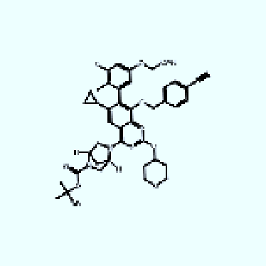 C#Cc1ccc(COc2c(-c3cc(OCOC)cc(F)c3C)c(C3CC3)cc3c(N4C[C@@H]5C[C@H]4CN5C(=O)OC(C)(C)CCC)nc(OC4CCOCC4)nc23)cc1